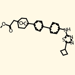 COC(=O)CC12CCC(c3ccc(-c4ccc(Nc5nnc(C6CCC6)s5)cc4)cc3)(CC1)CO2